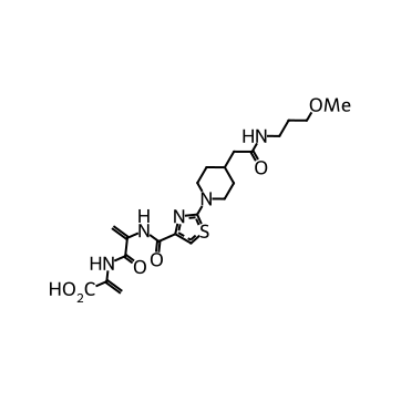 C=C(NC(=O)C(=C)NC(=O)c1csc(N2CCC(CC(=O)NCCCOC)CC2)n1)C(=O)O